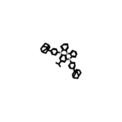 CC(C)c1cc2c3c(c1)N(c1ccc(C45CC6CC(CC(C6)C4)C5)cc1)c1ccccc1B3c1ccccc1N2c1ccc(C23CC4CC(CC(C4)C2)C3)cc1